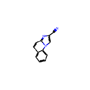 N#Cc1cn2c(ccc3ccccc32)n1